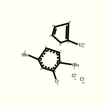 CC(C)(C)c1ccc(C(C)(C)C)c([O-])c1.[Cl-].[Cl-].[Ti+3][C]1=CC=CC1